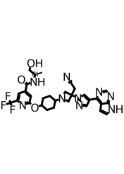 C[C@H](CO)NC(=O)c1cc(OC2CCC(N3CC(CC#N)(n4cc(-c5ncnc6[nH]ccc56)cn4)C3)CC2)nc(C(F)(F)F)c1